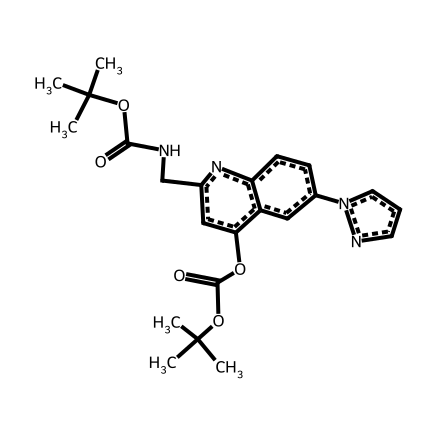 CC(C)(C)OC(=O)NCc1cc(OC(=O)OC(C)(C)C)c2cc(-n3cccn3)ccc2n1